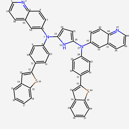 c1cnc2ccc(N(c3ccc(-c4cc5ccccc5s4)cc3)c3ccc(N(c4ccc(-c5cc6ccccc6s5)cc4)c4ccc5ncccc5c4)[nH]3)cc2c1